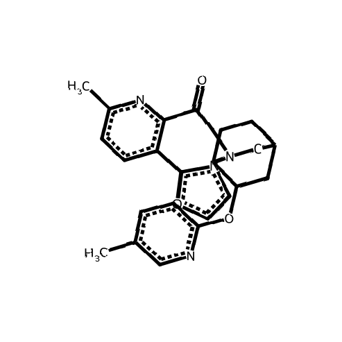 Cc1ccc(OC2CC3CCC2N(C(=O)c2nc(C)ccc2-c2ncco2)C3)nc1